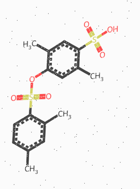 Cc1ccc(S(=O)(=O)Oc2cc(C)c(S(=O)(=O)O)cc2C)c(C)c1